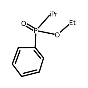 CCOP(=O)(c1ccccc1)C(C)C